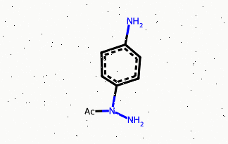 CC(=O)N(N)c1ccc(N)cc1